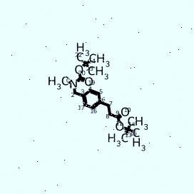 CN(Cc1ccc(CCC(=O)OC(C)(C)C)cc1)C(=O)OC(C)(C)C